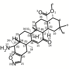 COC(=O)[C@]12CCC(C)(C)C[C@H]1[C@H]1C(=O)C=C3[C@@]4(C)Cc5cnoc5[C@@](C)(N)[C@@H]4CC[C@@]3(C)[C@]1(C)CC2